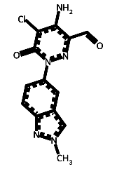 Cn1cc2cc(-n3nc(C=O)c(N)c(Cl)c3=O)ccc2n1